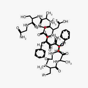 CC(C)CC(C(=O)NC(C)C(=O)NC(C(=O)NC(Cc1ccccc1)C(=O)NC(CC(O)=S)C(=O)N(C)C(C)C(=O)NC(CO)C(=O)NCC(N)=O)C(C)C)N(C)C(=O)CNC(=O)C(Cc1ccccc1)N(C)C(=O)C(C)NC(=O)CN